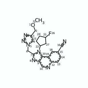 COCc1cn(Cc2nc3cnc4ccc(C#N)cc4c3n2C2CCC(F)C2)nn1